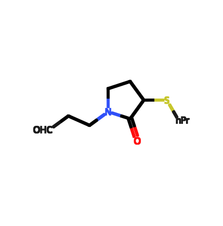 CCCSC1CCN(CCC=O)C1=O